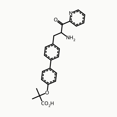 CC(C)(Oc1ccc(-c2ccc(CC(N)C(=O)c3ccccn3)cc2)cc1)C(=O)O